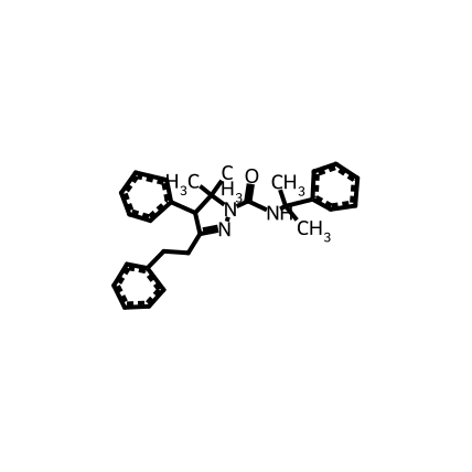 CC(C)(NC(=O)N1N=C(CCc2ccccc2)C(c2ccccc2)C1(C)C)c1ccccc1